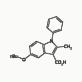 CCCCOc1ccc2c(c1)c(C(=O)O)c(C)n2-c1ccccc1